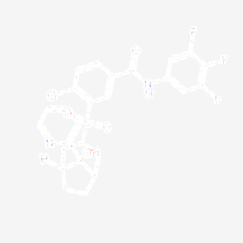 O=C(Nc1cc(F)c(F)c(F)c1)c1ccc(Cl)c(S(=O)(=O)[C@@H]2CC3CC[C@@H](C2)[C@@]3(O)c2ccccn2)c1